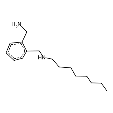 CCCCCCCCNCc1ccccc1CN